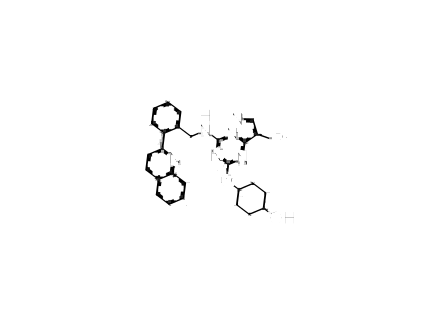 CC(C)c1cnn2c(NCc3ccccc3-c3ccc4ccccc4n3)nc(OC3CCC(O)CC3)nc12